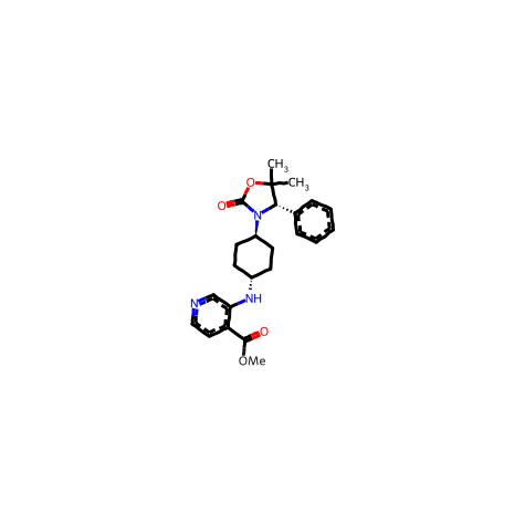 COC(=O)c1ccncc1N[C@H]1CC[C@H](N2C(=O)OC(C)(C)[C@@H]2c2ccccc2)CC1